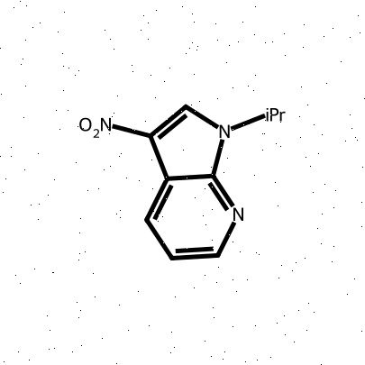 CC(C)n1cc([N+](=O)[O-])c2cccnc21